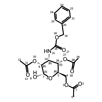 CC(=O)OC[C@H]1O[C@H](O)[C@H](OC(C)=O)[C@H](NC(=O)OCc2ccccc2)[C@@H]1OC(C)=O